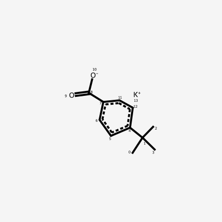 CC(C)(C)c1ccc(C(=O)[O-])cc1.[K+]